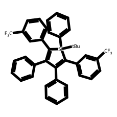 CC(C)(C)[Si]1(c2ccccc2)C(c2cccc(C(F)(F)F)c2)=C(c2ccccc2)C(c2ccccc2)=C1c1cccc(C(F)(F)F)c1